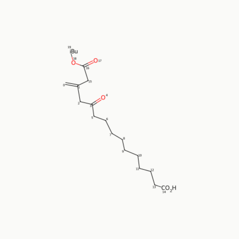 C=C(CC(=O)CCCCCCCCCC(=O)O)CC(=O)OC(C)CC